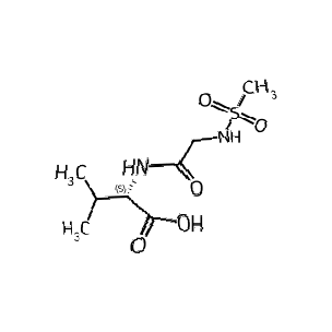 CC(C)[C@H](NC(=O)CNS(C)(=O)=O)C(=O)O